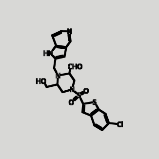 O=CC1CN(S(=O)(=O)c2cc3ccc(Cl)cc3s2)CC(CO)N1Cc1cc2cnccc2[nH]1